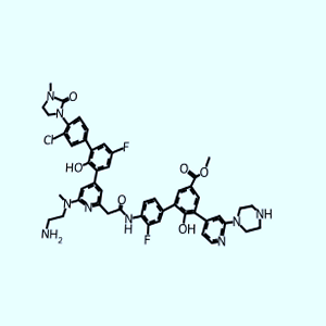 COC(=O)c1cc(-c2ccnc(N3CCNCC3)c2)c(O)c(-c2ccc(NC(=O)Cc3cc(-c4cc(F)cc(-c5ccc(N6CCN(C)C6=O)c(Cl)c5)c4O)cc(N(C)CCN)n3)c(F)c2)c1